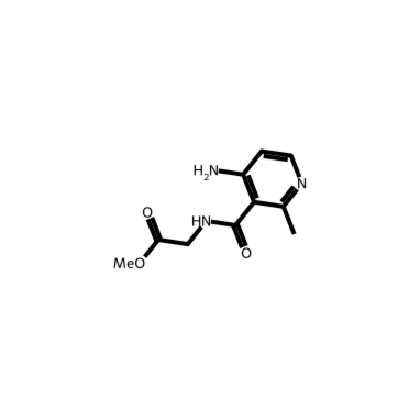 COC(=O)CNC(=O)c1c(N)ccnc1C